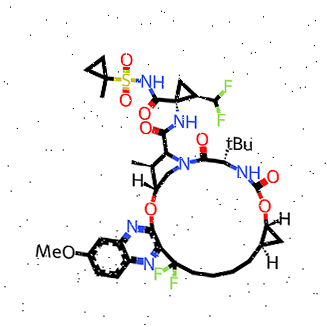 COc1ccc2nc3c(nc2c1)O[C@H]1CN(C(=O)[C@H](C(C)(C)C)NC(=O)O[C@@H]2C[C@H]2CCCCC3(F)F)C(C(=O)N[C@]2(C(=O)NS(=O)(=O)C3(C)CC3)C[C@H]2C(F)F)[C@@H]1C